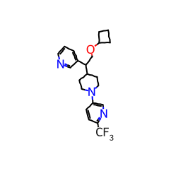 FC(F)(F)c1ccc(N2CCC(C(COC3CCC3)c3cccnc3)CC2)cn1